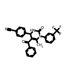 CC1=C(C(=O)c2ccccc2)C(c2ccc(C#N)cc2)NC(=O)N1c1cccc(C(F)(F)F)c1